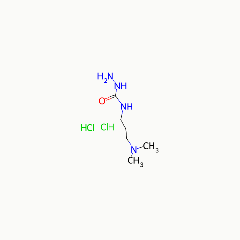 CN(C)CCCNC(=O)NN.Cl.Cl